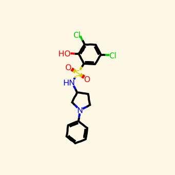 O=S(=O)(NC1CCN(c2ccccc2)C1)c1cc(Cl)cc(Cl)c1O